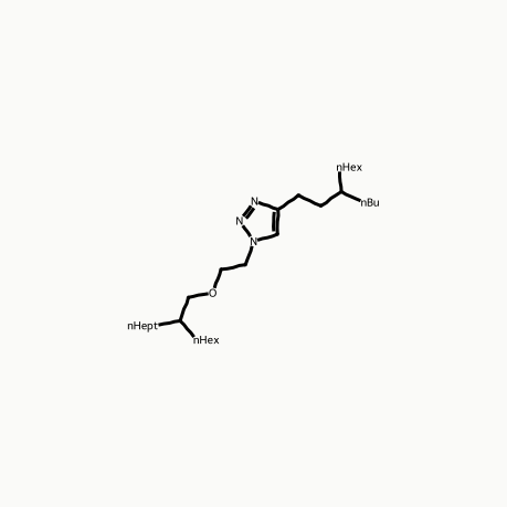 CCCCCCCC(CCCCCC)COCCn1cc(CCC(CCCC)CCCCCC)nn1